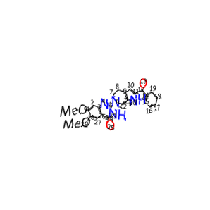 COc1cc2nc(N3CCc4cc(C(=O)c5ccccc5)[nH]c4C3)[nH]c(=O)c2cc1OC